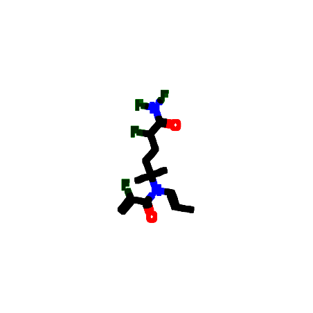 C=C(F)C(=O)N(/C=C/C)C(C)(C)CCC(F)C(=O)N(F)F